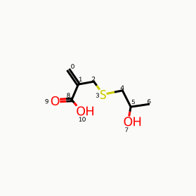 C=C(CSCC(C)O)C(=O)O